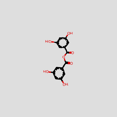 O=C(OC(=O)c1cc(O)cc(O)c1)c1cc(O)cc(O)c1